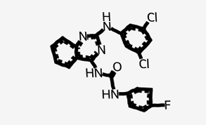 O=C(Nc1ccc(F)cc1)Nc1nc(Nc2cc(Cl)cc(Cl)c2)nc2ccccc12